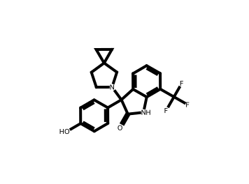 O=C1Nc2c(C(F)(F)F)cccc2C1(c1ccc(O)cc1)N1CCC2(CC2)C1